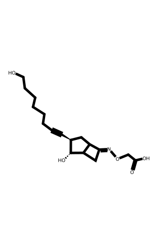 O=C(O)CON=C1CC2C1C[C@H](C#CCCCCCCO)[C@H]2O